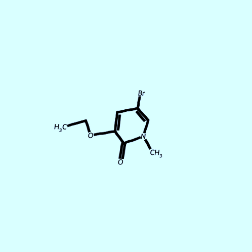 CCOc1cc(Br)cn(C)c1=O